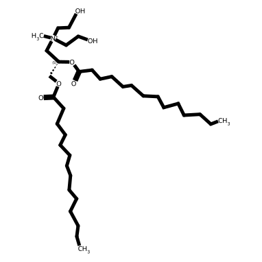 CCCCCCCCCCCCCC(=O)OC[C@H](C[N+](C)(CCO)CCO)OC(=O)CCCCCCCCCCCCC